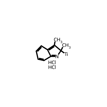 CC1=c2ccccc2=N[C]1(C)[Ti].Cl.Cl